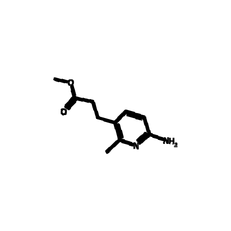 COC(=O)CCc1ccc(N)nc1C